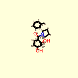 Cc1ccccc1[C@@H]1CCCN1C(=O)c1ccc(O)cc1O